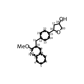 COc1nc2ccccc2cc1Cc1ccc(C2CC(O)CO2)cc1